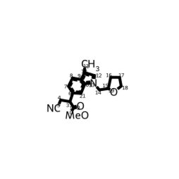 COC(=O)C(CC#N)c1ccc2c(C)cn(CC3CCCO3)c2c1